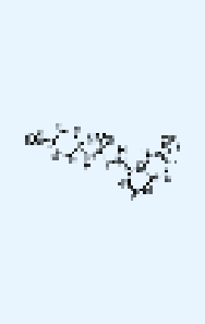 CNC1(NC(=O)CNc2ncnc3ccc(C(F)(F)F)cc23)CCC(C(C)(C)C)CC1